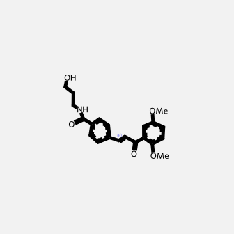 COc1ccc(OC)c(C(=O)/C=C/c2ccc(C(=O)NCCCO)cc2)c1